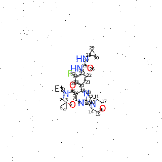 CCN1CC(C)(C)Oc2nc(N3C4CCC3COC4)nc(-c3ccc(NC(=O)NC4CC4)c(F)c3)c2C1=O